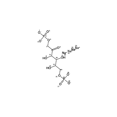 O=C(COP(=O)([O-])[O-])C(O)C(O)C(O)COP(=O)([O-])[O-].[Na+].[Na+].[Na+].[Na+]